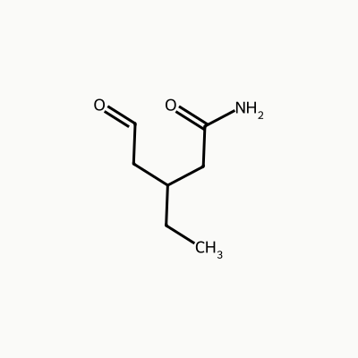 CCC(CC=O)CC(N)=O